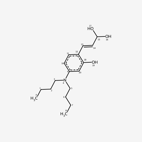 CCCCN(CCCC)c1ccc(/C=C/C(O)O)c(O)c1